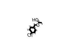 CC(O)OCc1ccc(Cl)cc1